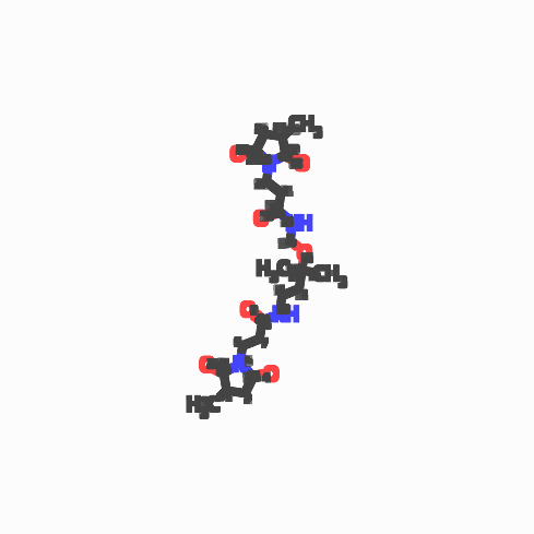 CC1CC(=O)N(CCC(=O)NCCC(C)(C)OCNC(=O)CCN2C(=O)CC(C)C2=O)C1=O